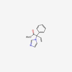 C=CC(C(=O)OC)(c1ccccc1)n1ccnc1